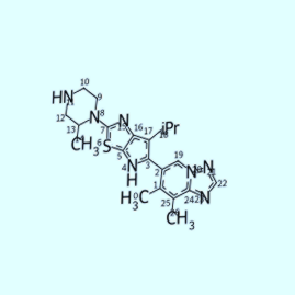 Cc1c(-c2[nH]c3sc(N4CCNCC4C)nc3c2C(C)C)cn2ncnc2c1C